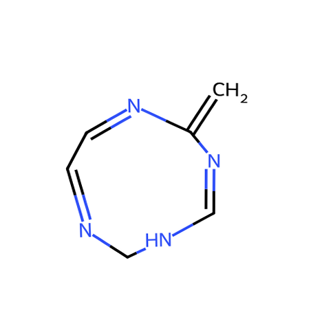 C=C1/N=C\C=N/CN/C=N\1